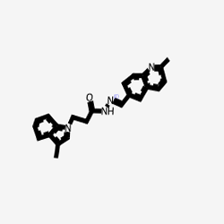 Cc1ccc2cc(/C=N/NC(=O)CCn3cc(C)c4ccccc43)ccc2n1